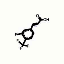 O=C(O)/C=C/c1ccc(C(F)(F)F)c(F)c1